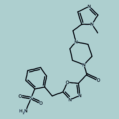 Cn1cncc1CN1CCN(C(=O)c2nnc(Cc3ccccc3S(N)(=O)=O)o2)CC1